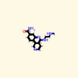 CNCCNc1nc2cc(C(N)=O)ccc2c2cnccc12